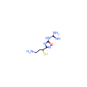 N=C(N)Nc1nc(C(S)CCN)no1